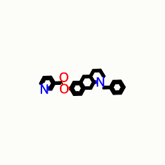 O=C(Oc1ccc2c(c1)CC1CCCN(Cc3ccccc3)C1C2)c1cccnc1